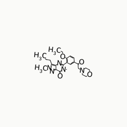 CCCc1c2c(nn1C)C(=O)[N]C(c1cc(C(=O)CN3CCOCC3)ccc1OCC)=N2